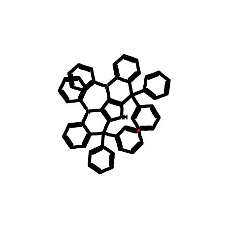 c1ccc(N2c3ccccc3C(c3ccccc3)(c3ccccc3)c3[nH]c4c(c32)N(c2ccccc2)c2ccccc2C4(c2ccccc2)c2ccccc2)cc1